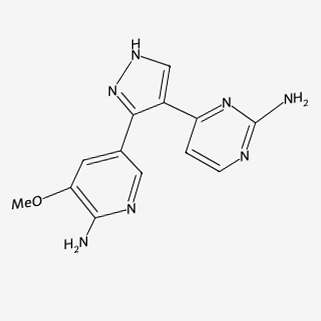 COc1cc(-c2n[nH]cc2-c2ccnc(N)n2)cnc1N